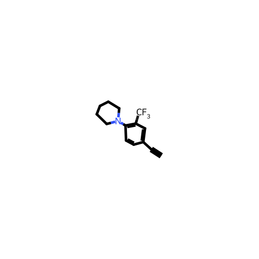 C#Cc1ccc(N2CCCCC2)c(C(F)(F)F)c1